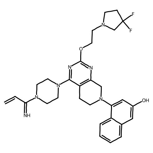 C=CC(=N)N1CCN(c2nc(OCCN3CCC(F)(F)C3)nc3c2CCN(c2cc(O)cc4ccccc24)C3)CC1